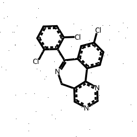 Clc1ccc2c(c1)C(c1c(Cl)cccc1Cl)=NCc1cncnc1-2